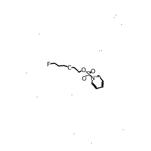 O=S(=O)(OCCCCCCF)[n+]1ccccc1